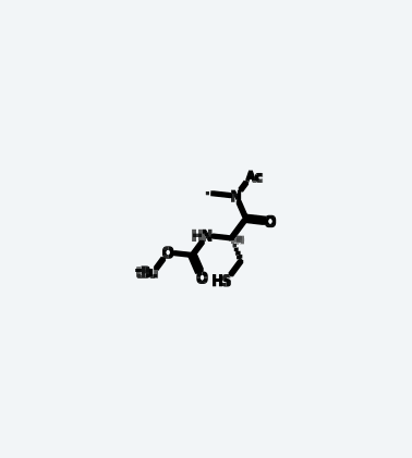 [CH2]N(C(C)=O)C(=O)[C@H](CS)NC(=O)OC(C)(C)C